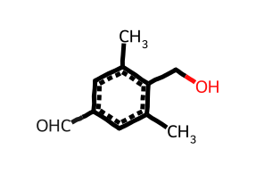 Cc1cc(C=O)cc(C)c1CO